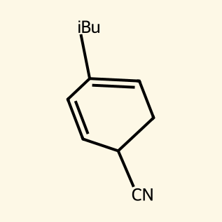 CCC(C)C1=CCC(C#N)C=C1